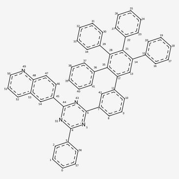 c1ccc(-c2nc(-c3cccc(-c4cc(-c5ccccc5)c(-c5ccccc5)c(-c5ccccc5)c4-c4ccccc4)c3)nc(-c3ccc4ncccc4c3)n2)cc1